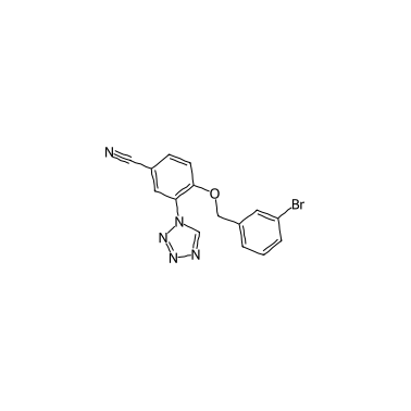 N#Cc1ccc(OCc2cccc(Br)c2)c(-n2cnnn2)c1